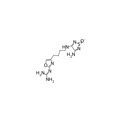 NC(N)=Nc1nc(CCCCNc2n[s+]([O-])nc2N)co1